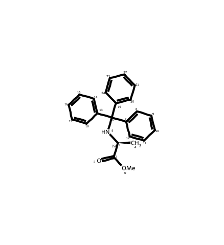 COC(=O)[C@H](C)NC(c1ccccc1)(c1ccccc1)c1ccccc1